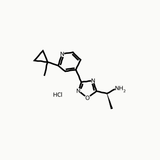 C[C@H](N)c1nc(-c2ccnc(C3(C)CC3)c2)no1.Cl